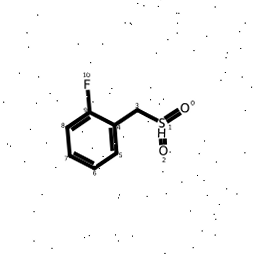 O=[SH](=O)Cc1ccccc1F